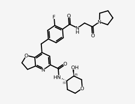 O=C(N[C@H]1CCOC[C@@H]1O)c1cc(Cc2ccc(C(=O)NCC(=O)N3CCCC3)c(F)c2)c2c(n1)CCO2